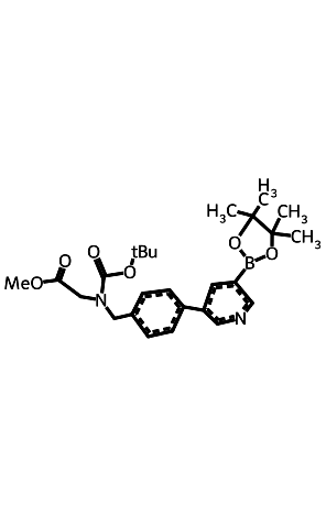 COC(=O)CN(Cc1ccc(-c2cncc(B3OC(C)(C)C(C)(C)O3)c2)cc1)C(=O)OC(C)(C)C